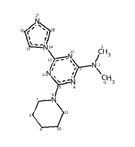 CN(C)c1nc(N2CCCCC2)nc(-n2ccnc2)n1